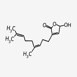 CC(C)=CCCC(C)=CCCC1=CC(O)OC1=O